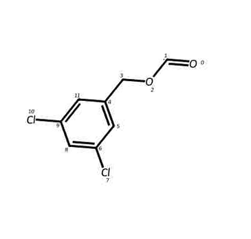 O=[C]OCc1cc(Cl)cc(Cl)c1